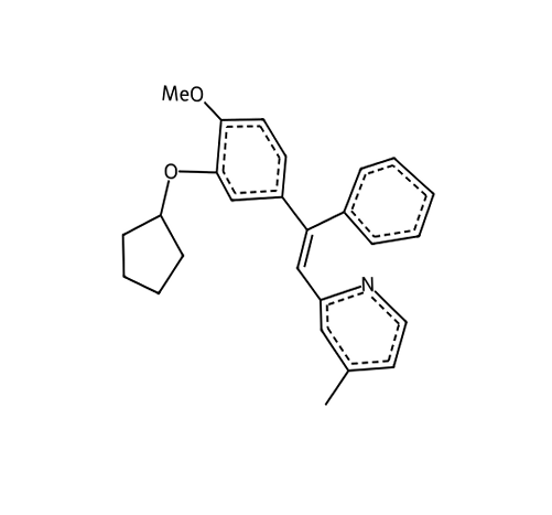 COc1ccc(C(=Cc2cc(C)ccn2)c2ccccc2)cc1OC1CCCC1